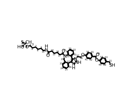 CP(O)(=S)OCCCCCCNC(=O)CCCCC(=O)N1Cc2ccccc2C2=C(c3ccccc31)N(CCOc1ccc(C(=O)Oc3ccc(CS)cc3)cc1)NN2